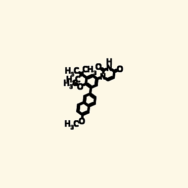 COc1ccc2cc(-c3cc(-n4ccc(=O)[nH]c4=O)cc(C(C)(C)C)c3OC)ccc2c1